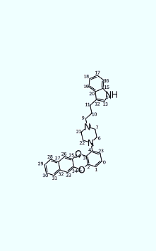 c1cc2c(c(N3CCN(CCCc4c[nH]c5ccccc45)CC3)c1)Oc1cc3ccccc3cc1O2